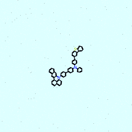 c1ccc(N(c2ccc(-c3ccc(N4c5cc6ccccc6cc5-c5cccc6cccc4c56)cc3)cc2)c2ccc(-c3ccc4sc5ccccc5c4c3)cc2)cc1